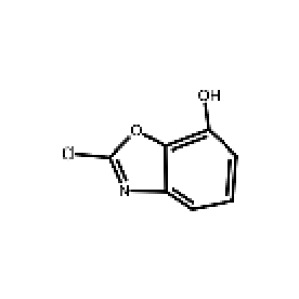 Oc1cccc2nc(Cl)oc12